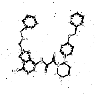 C[C@H]1CC[C@H](c2ccc(OCc3ccccc3)cc2)N(C(=O)C(=O)Nc2cnc(N)c3cn(COCc4ccccc4)nc23)C1